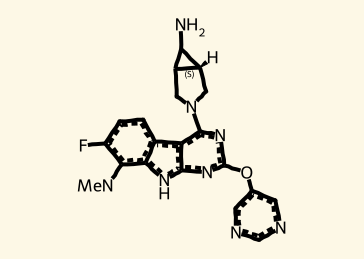 CNc1c(F)ccc2c1[nH]c1nc(Oc3cncnc3)nc(N3CC4C(N)[C@@H]4C3)c12